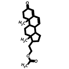 CC(=O)OCCC1CCC2C3C=CC4=CC(=O)CCC4(C)C3CCC12C